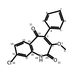 COc1c(-c2ccccc2)c(=O)c2ccc(Cl)cc2[nH]c1=O